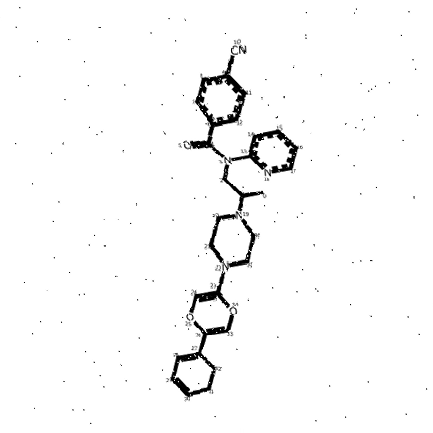 CC(CN(C(=O)c1ccc(C#N)cc1)c1ccccn1)N1CCN(C2=COC(C3=CC=CCC3)=CO2)CC1